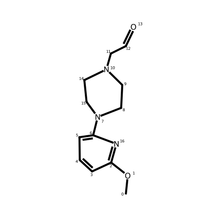 COc1cccc(N2CCN(CC=O)CC2)n1